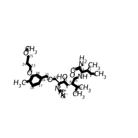 CC[C@H](C)[C@H](NC(=O)[C@@H](C[C@H](O)[C@H](COCc1ccc(C)c(OCCCOC)c1)N=[N+]=[N-])C(C)C)C(N)=O